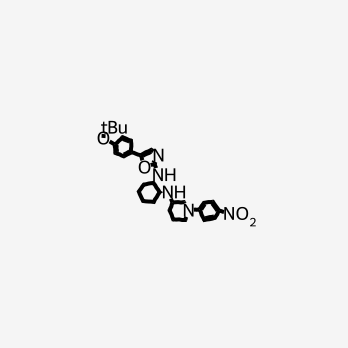 CC(C)(C)Oc1ccc(-c2cnc(N[C@@H]3CCCC[C@H]3NC3CCCN(c4ccc([N+](=O)[O-])cc4)C3)o2)cc1